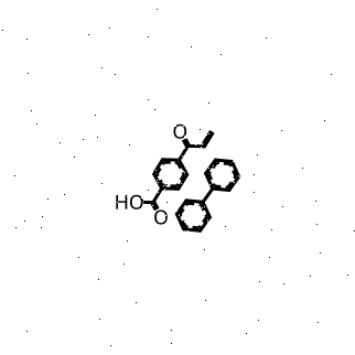 C=CC(=O)c1ccc(C(=O)O)cc1.c1ccc(-c2ccccc2)cc1